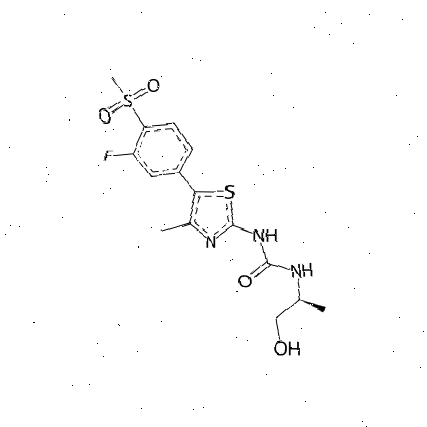 Cc1nc(NC(=O)N[C@@H](C)CO)sc1-c1ccc(S(C)(=O)=O)c(F)c1